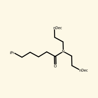 CCCCCCCCCCCCN(CCCCCCCCCCCC)C(=O)CCCCC(C)C